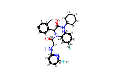 Cc1ccccc1C(C(=O)NC1CCCCC1)N(C(=O)CNc1cccc(F)n1)c1cccc(F)c1